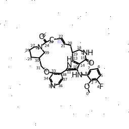 COc1c(F)cccc1Nc1c2[nH]c3c1C(=O)NCC3C/C=C/CC(=O)N1CCCC(COc3cnccc3-2)C1